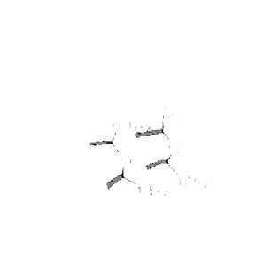 C=C(CCCC)OC(=C)CCCC.C=C(CCCCCC)OC(=C)CCCCCC